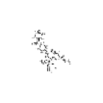 CC(C)(C)c1cc(-c2ccc(C(=O)N3CCOCC3)cc2)cc2cc(CN)oc12